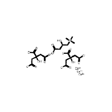 C[N+](C)(C)CC(O)CC(=O)[O-].O=C([O-])CC(O)(CC(=O)[O-])C(=O)[O-].O=C([O-])CC(O)(CC(=O)[O-])C(=O)[O-].[Ca+2].[Ca+2].[Ca+2]